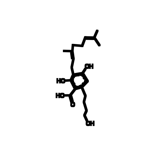 CC(C)=CCC/C(C)=C/Cc1c(O)cc(CCCCO)c(C(=O)O)c1O